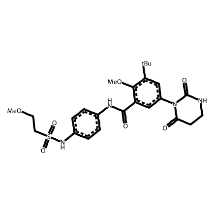 COCCS(=O)(=O)Nc1ccc(NC(=O)c2cc(N3C(=O)CCNC3=O)cc(C(C)(C)C)c2OC)cc1